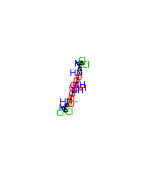 CN1Cc2c(Cl)cc(Cl)cc2C(c2ccc(SNCCOCCOCCNC(=O)C(O)C(=O)NCCOCCOCCN[S+]([O-])c3ccc(C4CN(C)Cc5c(Cl)cc(Cl)cc54)cc3)cc2)C1